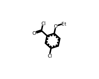 CCOc1ccc(Cl)cc1C(=O)Cl